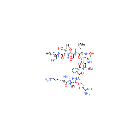 CC[C@H](C)[C@H](NC(=O)[C@@H]1CCCN1C(=O)[C@H](CCCNC(=N)N)NC(=O)[C@@H](NC(=O)[C@@H](N)CCCCN)C(C)C)C(=O)N[C@@H](CO)C(=O)N[C@@H](CCSC)C(=O)N[C@@H](CO)C(=O)N[C@H](C(=O)N[C@@H](CC(C)C)C(=O)O)[C@@H](C)O